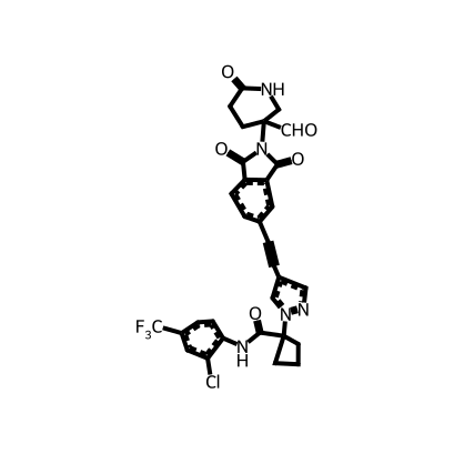 O=CC1(N2C(=O)c3ccc(C#Cc4cnn(C5(C(=O)Nc6ccc(C(F)(F)F)cc6Cl)CCC5)c4)cc3C2=O)CCC(=O)NC1